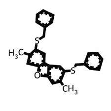 Cc1cc2oc3cc(C)c(SCc4ccccc4)cc3c2cc1SCc1ccccc1